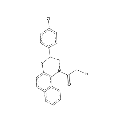 O=C(CCl)N1CC(c2ccc(Cl)cc2)Sc2ccc3ccccc3c21